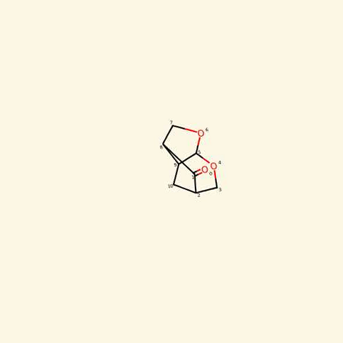 O=C1C2COC3OCC1C3C2